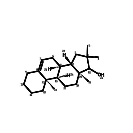 CC1(C)C[C@H]2[C@@H]3CC=C4CCCC[C@]4(C)[C@@H]3CC[C@]2(C)C1O